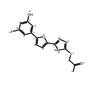 CC(=O)CSc1nnc(-c2ccc(-c3cc(O)cc(F)c3)o2)[nH]1